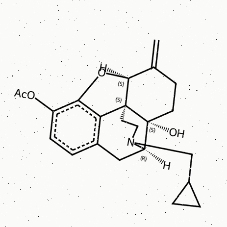 C=C1CC[C@@]2(O)[C@H]3Cc4ccc(OC(C)=O)c5c4[C@@]2(CCN3CC2CC2)[C@H]1O5